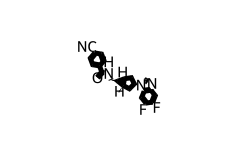 N#Cc1ccc(C(=O)NC[C@@H]2[C@H]3C[C@H](n4cnc5cc(F)c(F)cc54)C[C@@H]23)cc1